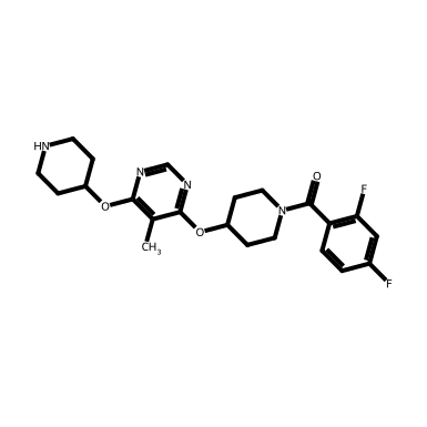 Cc1c(OC2CCNCC2)ncnc1OC1CCN(C(=O)c2ccc(F)cc2F)CC1